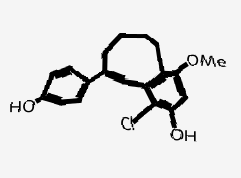 COc1cc(O)c(Cl)c2c1CCCC/C(c1ccc(O)cc1)=C\2